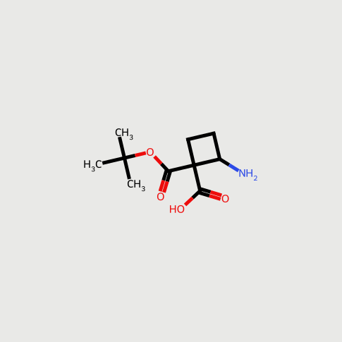 CC(C)(C)OC(=O)C1(C(=O)O)CCC1N